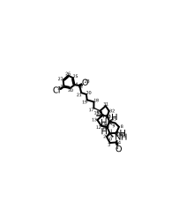 C[C@]12CCC(=O)N[C@@H]1CC[C@@H]1[C@@H]2CC[C@]2(C)[C@@H](CCCCCC(=O)c3cccc(Cl)c3)CC[C@@H]12